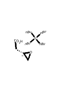 CCCC[N+](CCCC)(CCCC)CCCC.O=C(O)C[C@H]1CO1